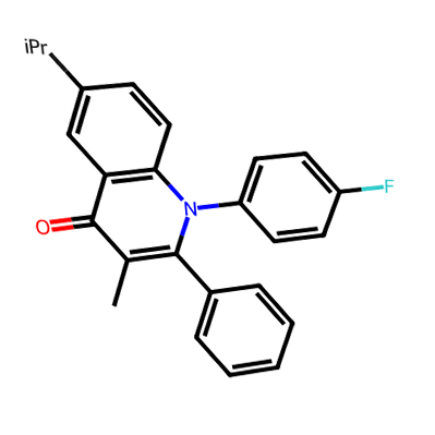 Cc1c(-c2ccccc2)n(-c2ccc(F)cc2)c2ccc(C(C)C)cc2c1=O